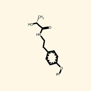 CC(C)Oc1ccc(CCNC(=O)[C@@H](C)O)cc1